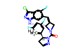 C=C(/C=C(F)\C=C(/C)F)[C@@H]1CC=NN1C(=O)N1CC(=Cc2cc3[nH]nc(Cl)c3cc2F)C1